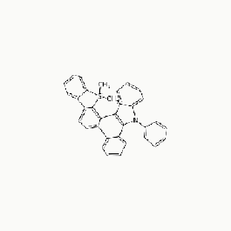 C[Si]1(C)c2ccccc2-c2ccc3c4ccccc4c4c(c5ccccc5n4-c4ccccc4)c3c21